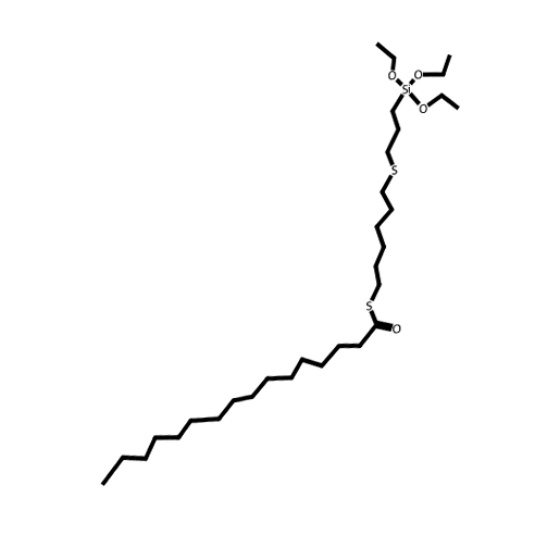 CCCCCCCCCCCCCCCC(=O)SCCCCCCSCCC[Si](OCC)(OCC)OCC